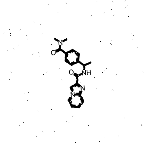 CC(NC(=O)c1cn2ccccc2n1)c1ccc(C(=O)N(C)C)cc1